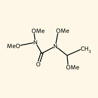 COC(C)N(OC)C(=O)N(OC)OC